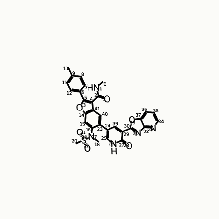 CNC(=O)c1c(-c2ccc(C)cc2)oc2cc(N(C)S(C)(=O)=O)c(-c3c[nH]c(=O)c(-c4nc5ncccc5o4)c3)cc12